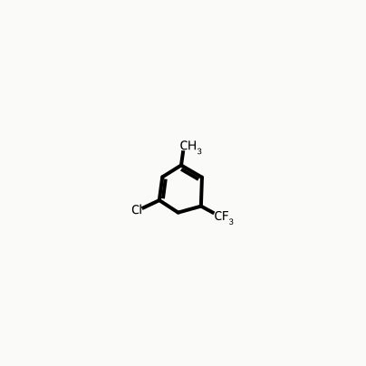 CC1=CC(C(F)(F)F)CC(Cl)=C1